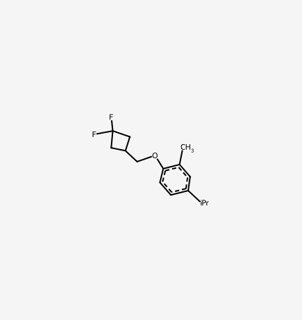 Cc1cc(C(C)C)ccc1OCC1CC(F)(F)C1